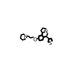 c1cc(C2=c3ccc(OCCCN4CCCCC4)cc3=C3CCCN3C2)cs1